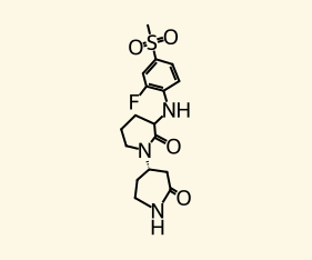 CS(=O)(=O)c1ccc(NC2CCCN([C@H]3CCNC(=O)C3)C2=O)c(F)c1